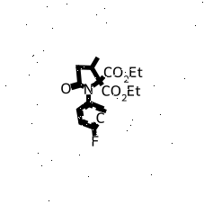 CCOC(=O)C1(C(=O)OCC)C(C)CC(=O)N1c1ccc(F)cc1